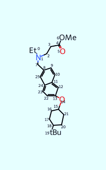 CCN(CCC(=O)OC)Cc1ccc2cc(OC3CCC(C(C)(C)C)CC3)ccc2c1